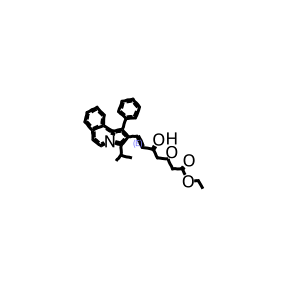 CCOC(=O)CC(O)CC(=O)/C=C/c1c(-c2ccccc2)c2c3ccccc3ccn2c1C(C)C